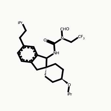 CC(C)CCc1ccc2c(c1)C(NC(=O)N(C=O)CC(F)(F)F)[C@]1(CC[C@H](OC(C)C)CC1)C2